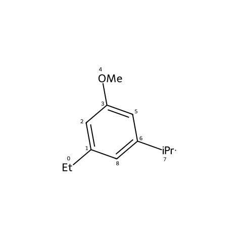 CCc1cc(OC)cc([C](C)C)c1